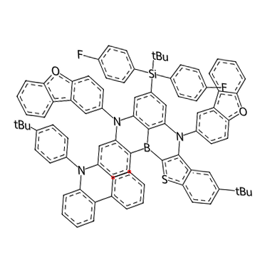 CC(C)(C)c1ccc(N(c2ccc3c(c2)N(c2ccc4oc5ccccc5c4c2)c2cc([Si](c4ccc(F)cc4)(c4ccc(F)cc4)C(C)(C)C)cc4c2B3c2sc3ccc(C(C)(C)C)cc3c2N4c2ccc3oc4ccccc4c3c2)c2ccccc2-c2ccccc2)cc1